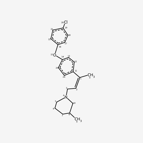 CC(=CCN1CCCC(C)C1)c1ccc(Oc2ccc(Cl)cc2)cc1